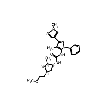 COCC[C@@H]1C[C@@H](NC(=O)Nc2c(C)c(-c3cnn(C)c3)nn2-c2ccccc2)[C@H](C)N1